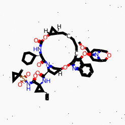 C=C[C@@H]1C[C@]1(NC(=O)[C@@H]1C[C@@H]2CN1C(=O)[C@H](C1CCCCC1)NC(=O)O[C@@H]1C[C@H]1CCCCCc1c(nc3ccccc3c1OC1CC3COCC(C1)N3CCOC)O2)C(=O)NS(=O)(=O)C1(C)CC1